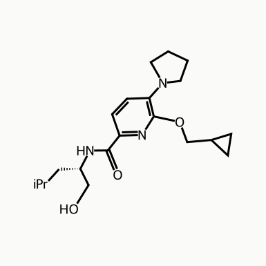 CC(C)C[C@@H](CO)NC(=O)c1ccc(N2CCCC2)c(OCC2CC2)n1